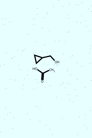 CC(=O)O.OCC1CC1